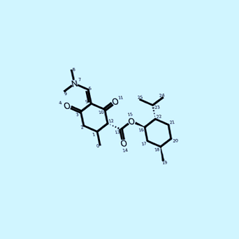 CC1CC(=O)/C(=C\N(C)C)C(=O)[C@@H]1C(=O)O[C@@H]1C[C@H](C)CC[C@H]1C(C)C